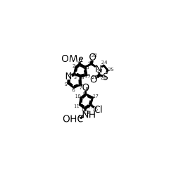 COc1cc2nccc(Oc3ccc(NC=O)c(Cl)c3)c2cc1C(=O)N1CCSC1=O